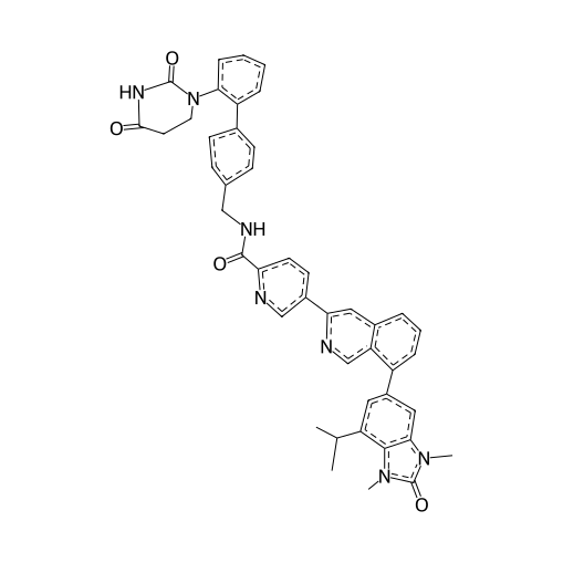 CC(C)c1cc(-c2cccc3cc(-c4ccc(C(=O)NCc5ccc(-c6ccccc6N6CCC(=O)NC6=O)cc5)nc4)ncc23)cc2c1n(C)c(=O)n2C